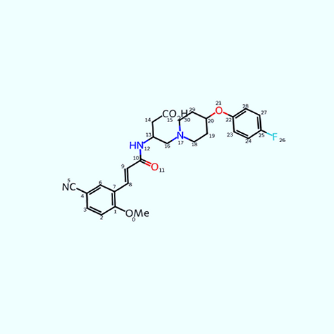 COc1ccc(C#N)cc1C=CC(=O)NC(CC(=O)O)CN1CCC(Oc2ccc(F)cc2)CC1